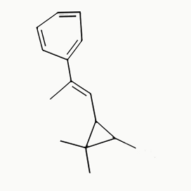 CC(=CC1C(C(=O)O)C1(C)C)c1ccccc1